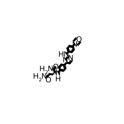 NC(=O)CC[C@H](Nc1ccc(-c2ccnc(Nc3ccc(N4CCOCC4)cc3)n2)cc1)C(N)=O